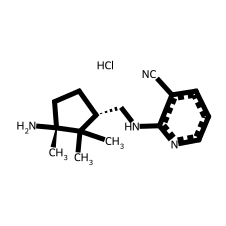 CC1(C)[C@@H](CNc2ncccc2C#N)CC[C@@]1(C)N.Cl